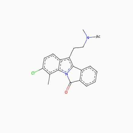 CC(=O)N(C)CCc1c2n(c3c(C)c(Cl)ccc13)C(=O)c1ccccc1-2